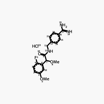 COc1ccc(F)c(C(OC)C(=O)NCc2ccc(C(=N)N)cc2)c1.Cl